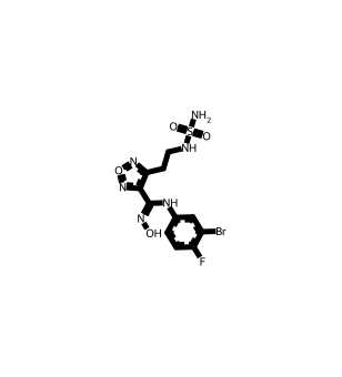 NS(=O)(=O)NCCc1nonc1/C(=N/O)Nc1ccc(F)c(Br)c1